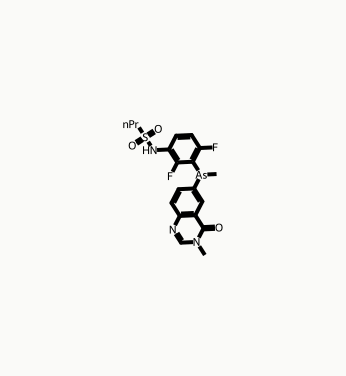 CCCS(=O)(=O)Nc1ccc(F)c([As](C)c2ccc3ncn(C)c(=O)c3c2)c1F